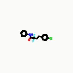 O=C(Nc1ccccc1)C(F)(F)CCc1ccc(Cl)cc1